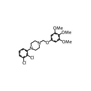 COc1cc(OCN2CCN(c3cccc(Cl)c3Cl)CC2)cc(OC)c1OC